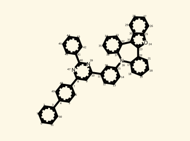 c1ccc(-c2ccc(-c3cc(-c4cccc(N5c6ccccc6-c6oc7ccccc7c6-c6ccccc65)c4)nc(-c4ccccc4)n3)cc2)cc1